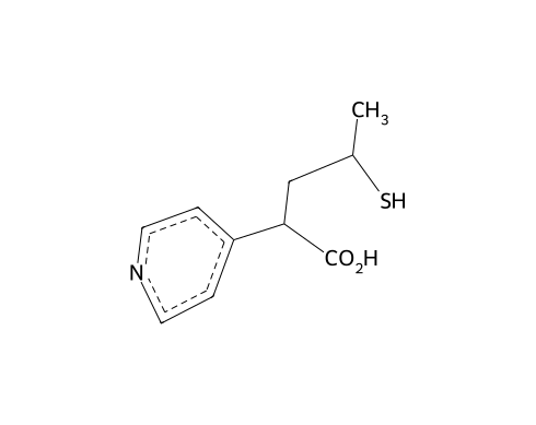 CC(S)CC(C(=O)O)c1ccncc1